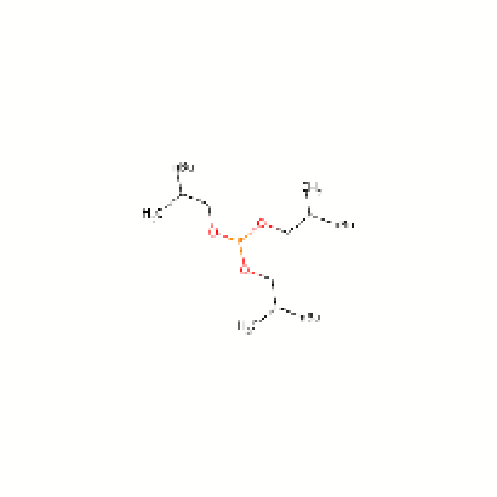 CCCCC(C)COP(OCC(C)CCCC)OCC(C)CCCC